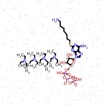 CCN(CC)CC.CCN(CC)CC.CCN(CC)CC.CCN(CC)CC.NCCCCCCCSc1nc(N)c2ncn([C@@H]3O[C@H](COP(=O)(O)OP(=O)(O)OP(=O)(O)O)[C@@H](O)[C@H]3O)c2n1